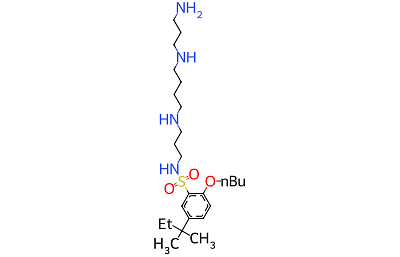 CCCCOc1ccc(C(C)(C)CC)cc1S(=O)(=O)NCCCNCCCCNCCCN